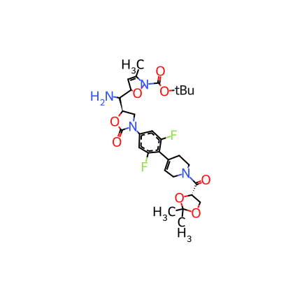 CC1=CC(C(N)[C@H]2CN(c3cc(F)c(C4=CCN(C(=O)[C@@H]5COC(C)(C)O5)CC4)c(F)c3)C(=O)O2)ON1C(=O)OC(C)(C)C